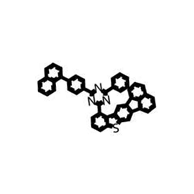 c1ccc(-c2nc(-c3ccc(-c4cccc5ccccc45)cc3)nc(-c3cccc4sc5cc6c(cc5c34)-c3cccc4cccc-6c34)n2)cc1